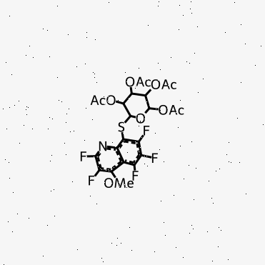 COc1c(F)c(F)nc2c(SC3OC(OC(C)=O)C(OC(C)=O)C(OC(C)=O)C3OC(C)=O)c(F)c(F)c(F)c12